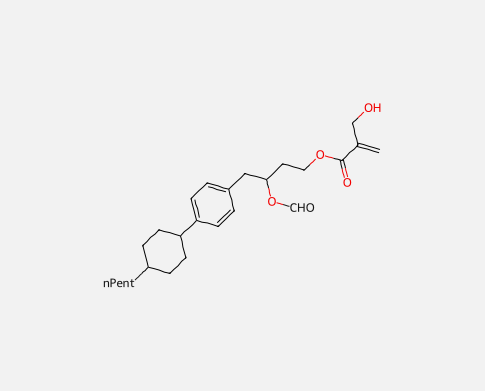 C=C(CO)C(=O)OCCC(Cc1ccc(C2CCC(CCCCC)CC2)cc1)OC=O